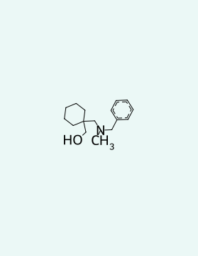 CN(Cc1ccccc1)CC1(CO)CCCCC1